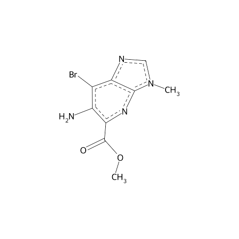 COC(=O)c1nc2c(ncn2C)c(Br)c1N